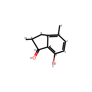 Cc1ccc(Br)c2c1CC(C)C2=O